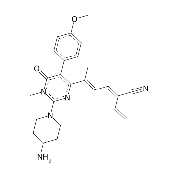 C=C/C(C#N)=C\C=C(/C)c1nc(N2CCC(N)CC2)n(C)c(=O)c1-c1ccc(OC)cc1